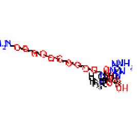 CC(C)(C)[Si](C)(C)O[C@@H]1[C@@H](CO)OC(n2cnc3c(N)ncnc32)[C@@H]1OCC(=O)NCCOCCOCCOCCOCCOCCOCCOCCOCCOCCOCCN